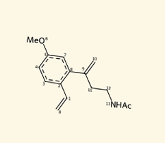 C=Cc1ccc(OC)cc1C(=C)CCNC(C)=O